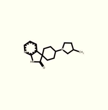 CC1CCN(C2CCC3(CC2)C(=O)Nc2ncccc23)C1